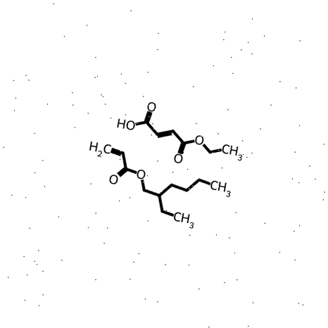 C=CC(=O)OCC(CC)CCCC.CCOC(=O)C=CC(=O)O